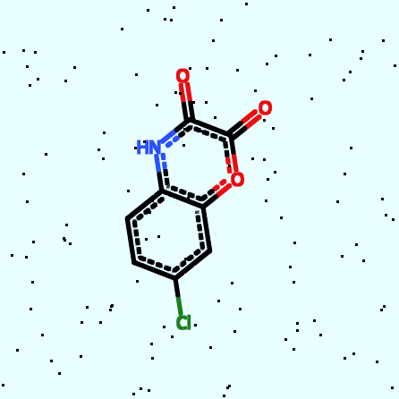 O=c1[nH]c2ccc(Cl)cc2oc1=O